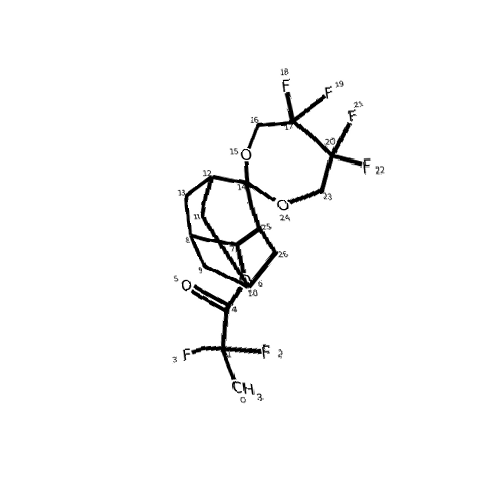 CC(F)(F)C(=O)OC1C2CC3CC(C2)C2(OCC(F)(F)C(F)(F)CO2)C1C3